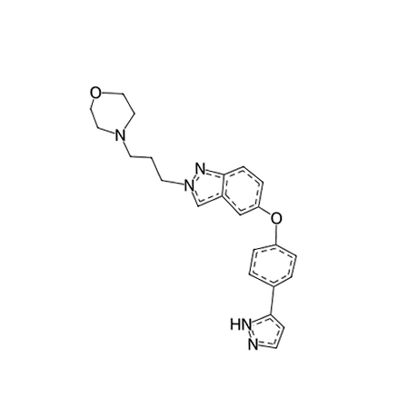 c1cc(-c2ccc(Oc3ccc4nn(CCCN5CCOCC5)cc4c3)cc2)[nH]n1